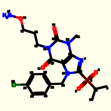 CC(C)S(=O)(=O)c1nc2c(c(=O)n(CCCON)c(=O)n2C)n1Cc1ccc(Cl)cc1